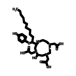 CCCCCCCCCCC(Oc1ccc(O)cc1)C1CN(CC(=O)O)C(O)CN(CC(=O)O)CCN(CC(=O)O)CCN1